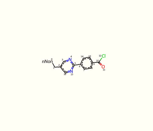 CCCCCCCCCCc1cnc(-c2ccc(C(=O)Cl)cc2)nc1